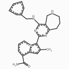 Cc1cc2c(C(N)=O)cccn2c1-c1nc2c(c(NCc3ccccc3)n1)CNCCC2